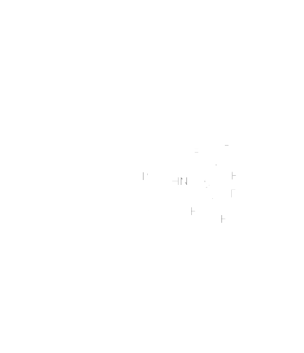 CCCC[P+](CCCC)(CCCC)CCCC.N=S(C(F)(F)F)C(F)(F)F